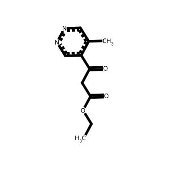 CCOC(=O)CC(=O)c1cnncc1C